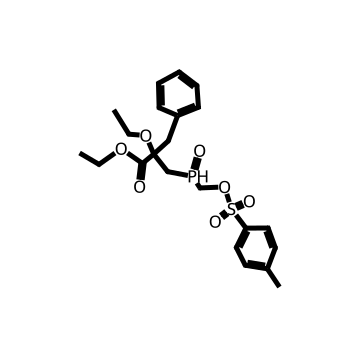 CCOC(=O)C(Cc1ccccc1)(C[PH](=O)COS(=O)(=O)c1ccc(C)cc1)OCC